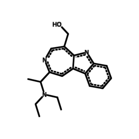 CCN(CC)C(C)c1cc2c3ccccc3nc-2c(CO)cn1